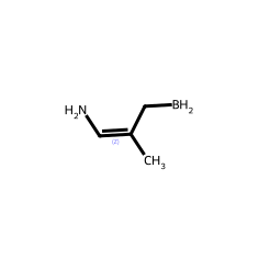 BC/C(C)=C\N